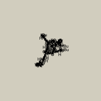 Cc1c(C)c(S(=O)(=O)NC(=N)NCCC[C@H](NC(=O)CNC(=O)[C@H](CCCCNC(=O)OC(C)(C)C)NC(=O)[C@@H](NC(=O)[C@H](CC(C)C)NC(=O)[C@H](Cc2cn(C(=O)OC(C)(C)C)c3ccccc23)NC(=O)[C@H](C)N)C(C)C)C(=O)NCC(=O)NCC(=O)N[C@@H](CCCCNC(=O)OC(C)(C)C)C(=O)O)c(C)c2c1OC(C)(C)C2